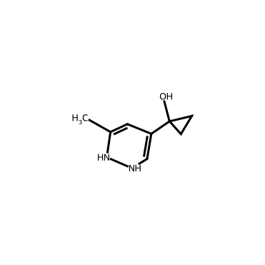 CC1=CC(C2(O)CC2)=CNN1